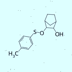 Cc1ccc(SOC2C3CCC(C3)C2O)cc1